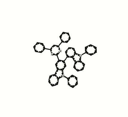 c1ccc(-c2cc(-c3ccccc3)nc(-c3cc4c5ccccc5n(-c5ccccc5)c4cc3-c3cccc4c3c3ccccc3n4-c3ccccc3)n2)cc1